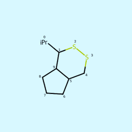 CC(C)C1SSCC2CCCC21